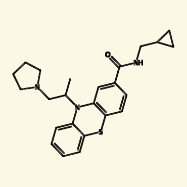 CC(CN1CCCC1)N1c2ccccc2Sc2ccc(C(=O)NCC3CC3)cc21